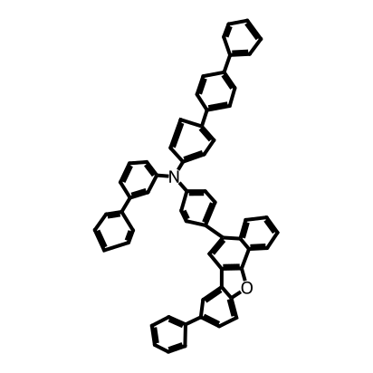 c1ccc(-c2ccc(-c3ccc(N(c4ccc(-c5cc6c7cc(-c8ccccc8)ccc7oc6c6ccccc56)cc4)c4cccc(-c5ccccc5)c4)cc3)cc2)cc1